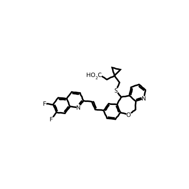 O=C(O)CC1(CSC2c3cc(C=Cc4ccc5cc(F)c(F)cc5n4)ccc3OCc3ncccc32)CC1